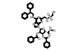 CCNC(=O)[C@H]1O[C@@H](n2cnc3c(NCC(c4ccccc4)c4ccccc4)nc(CNS(=O)(=O)CC(C)C)nc32)[C@H](OC(=O)c2ccccc2)[C@@H]1OC(=O)c1ccccc1